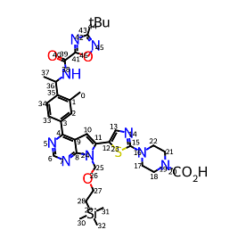 Cc1cc(-c2ncnc3c2cc(-c2cnc(N4CCN(C(=O)O)CC4)s2)n3COCC[Si](C)(C)C)ccc1C(C)NC(=O)c1nc(C(C)(C)C)no1